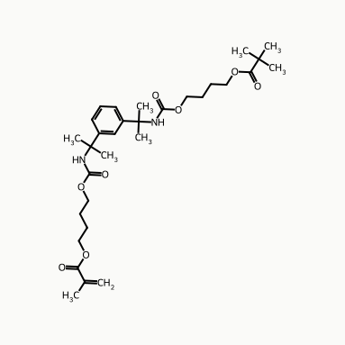 C=C(C)C(=O)OCCCCOC(=O)NC(C)(C)c1cccc(C(C)(C)NC(=O)OCCCCOC(=O)C(C)(C)C)c1